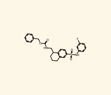 O=C(NCC1CCCc2cc(S(=O)(=O)Nc3cccc(F)c3)ccc21)OCc1ccccc1